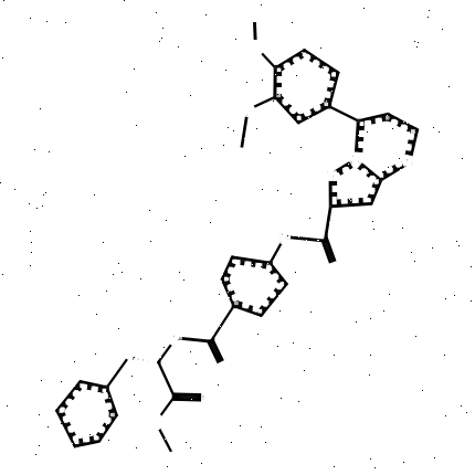 COC(=O)[C@H](Cc1ccccc1)NC(=O)c1ccc(NC(=O)c2cc3nccc(-c4ccc(OC)c(OC)c4)n3n2)cc1